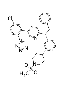 CS(=O)(=O)N1CCC(c2cccc(C(Cc3ccccc3)c3ccc(-c4cc(Cl)ccc4-n4cnnn4)cn3)c2)CC1